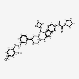 O=C(Nc1ccc2c(c1)nc(CN1CCC(c3cccc(OCc4ccc(Cl)cc4F)n3)CC1)n2C[C@@H]1CCO1)C1CCCC1